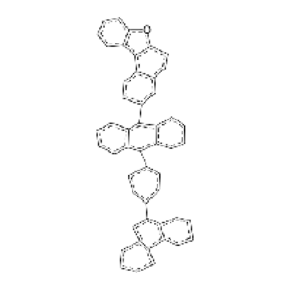 c1ccc2c(c1)cc(-c1ccc(-c3c4ccccc4c(-c4ccc5c(ccc6oc7ccccc7c65)c4)c4ccccc34)cc1)c1ccccc12